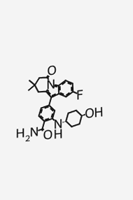 CC1(C)CC(=O)n2c(c(-c3ccc(C(N)=O)c(N[C@H]4CC[C@H](O)CC4)c3)c3cc(F)ccc32)C1